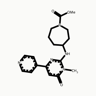 COC(=O)N1CCCC(Nc2nc(-c3ccncc3)cc(=O)n2C)CC1